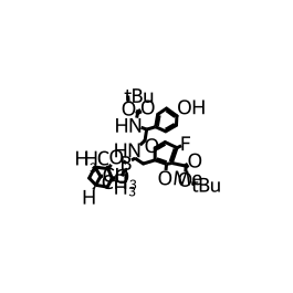 COc1c(CC(NC(=O)C(NC(=O)OC(C)(C)C)c2ccc(O)cc2)B2O[C@@H]3C[C@@H]4C[C@@H](C4(C)C)[C@]3(C)O2)ccc(F)c1C(=O)OC(C)(C)C